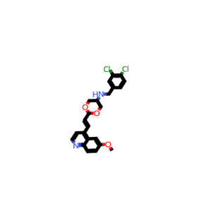 COc1ccc2nccc(C=CC3OCC(NCc4ccc(Cl)c(Cl)c4)CO3)c2c1